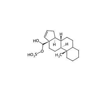 C[C@]12CCCCC1CC[C@@H]1[C@@H]2CC[C@]2(C(O)OS(=O)(=O)O)C=CC[C@@H]12